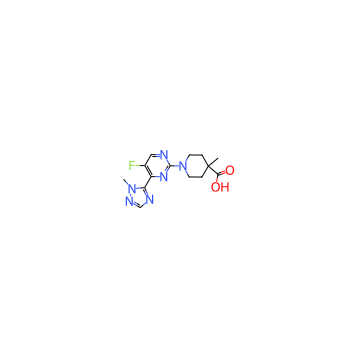 Cn1ncnc1-c1nc(N2CCC(C)(C(=O)O)CC2)ncc1F